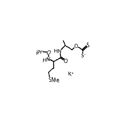 CSCCC(NOC(C)C)C(=O)NC(C)COC(=S)[S-].[K+]